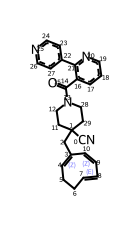 N#CC1(CC2=C/CC/C=C/C=C\2)CCN(C(=O)c2cccnc2-c2ccncc2)CC1